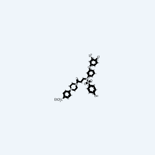 CCOC(=O)c1ccc(N2CCN(C(=O)CCN(c3cccc(Oc4ccc(Cl)c(CC)c4)c3)S(=O)(=O)c3ccc(O)cc3)CC2)cc1